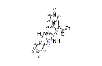 CCC(=O)Nc1cc(C(=N)/C=C/c2ccc(C)c(C)c2)c(N)cc1N1CCN(C)CC1